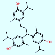 Cc1cc(O)c(C(C)C)cc1CCC(c1cc(C(C)C)c(O)cc1C)c1cc(C(C)C)c(O)cc1C